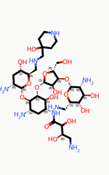 NC[C@@H](O)C(O)C(=O)N[C@@H]1C[C@H](N)[C@@H](O[C@H]2O[C@H](CNCC3(O)CCNCC3)[C@@H](O)C[C@H]2N)[C@H](O[C@@H]2O[C@H](CO)[C@@H](O[C@H]3O[C@@H](CN)[C@@H](O)[C@H](O)[C@H]3N)[C@H]2O)[C@H]1O